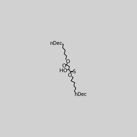 CCCCCCCCCCCCCCCCOC(=O)CC(O)C(=S)OCCCCCCCCCCCCCCCC